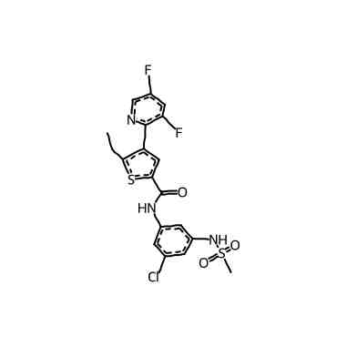 CCc1sc(C(=O)Nc2cc(Cl)cc(NS(C)(=O)=O)c2)cc1-c1ncc(F)cc1F